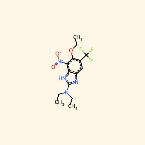 CCOc1c(C(F)(F)F)cc2nc(N(CC)CC)[nH]c2c1[N+](=O)[O-]